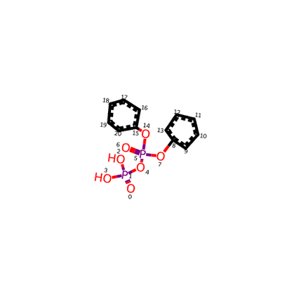 O=P(O)(O)OP(=O)(Oc1ccccc1)Oc1ccccc1